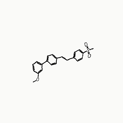 COc1cccc(-c2ccc(CCc3ccc(S(C)(=O)=O)cc3)cc2)c1